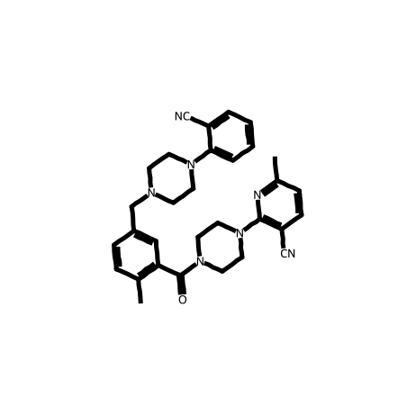 Cc1ccc(C#N)c(N2CCN(C(=O)c3cc(CN4CCN(c5ccccc5C#N)CC4)ccc3C)CC2)n1